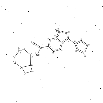 O=C(N[C@H]1CNCCC2CCC21)c1ccc2c(-c3ccsc3)c[nH]c2c1